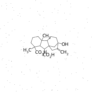 C=C1CC23CC1(O)CCC2C1(C)CCCC(C)(C(=O)O)C1C3C(=O)O